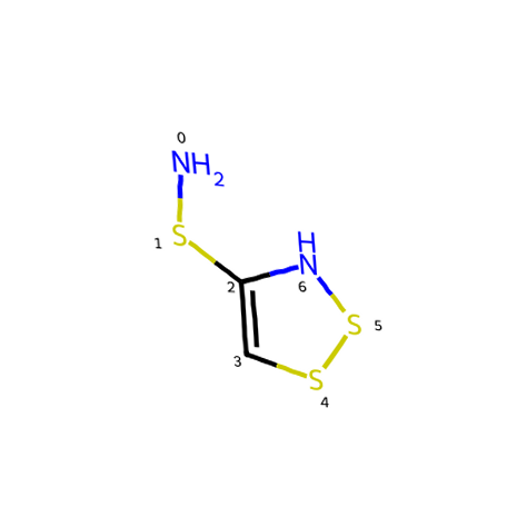 NSC1=CSSN1